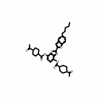 CCCCCc1ccc2oc(-c3nc4c(OC(=O)C5CCC(C(C)=O)CC5)ccc(OC(=O)C5CCC(C(C)=O)CC5)c4s3)cc2c1